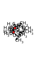 C[Si]1(C)O[Si]2(C)O[Si]3(C)O[Si](C)(C)O[Si]4(C)O[Si](C)(O1)O[Si](C)(O2)O[Si](C)(O3)O4